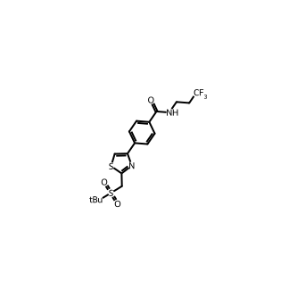 CC(C)(C)S(=O)(=O)Cc1nc(-c2ccc(C(=O)NCCC(F)(F)F)cc2)cs1